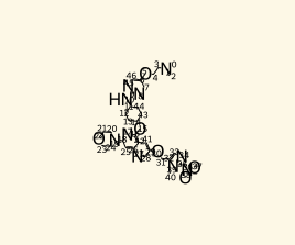 CN(C)CCOc1cnc(NC2CCC(Oc3nc(N4CCOCC4)cc4ncc(OCc5cnc([N+](=O)[O-])n5C)cc34)CC2)nc1